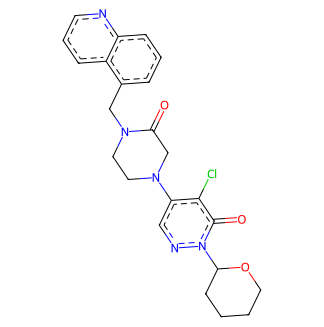 O=C1CN(c2cnn(C3CCCCO3)c(=O)c2Cl)CCN1Cc1cccc2ncccc12